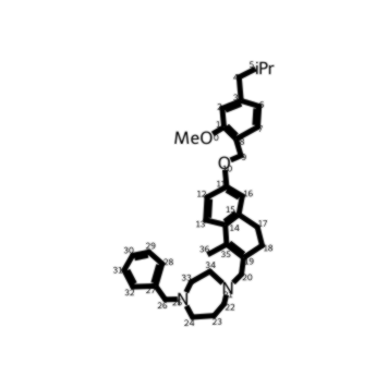 COc1cc(CC(C)C)ccc1COc1ccc2c(c1)CCC(CN1CCCN(Cc3ccccc3)CC1)=C2C